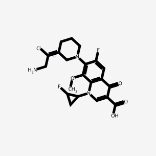 COc1c(N2CCC/C(=C(\Cl)CN)C2)c(F)cc2c(=O)c(C(=O)O)cn(C3CC3F)c12